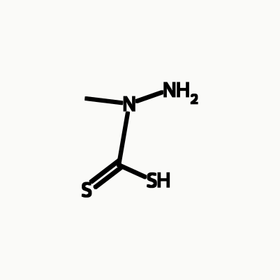 CN(N)C(=S)S